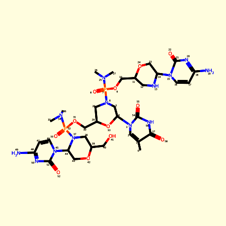 Cc1cn(C2CN(P(=O)(OCC3CNC(n4ccc(N)nc4=O)CO3)N(C)C)CC(COP(=O)(N(C)C)N3CC(CO)OCC3n3ccc(N)nc3=O)O2)c(=O)[nH]c1=O